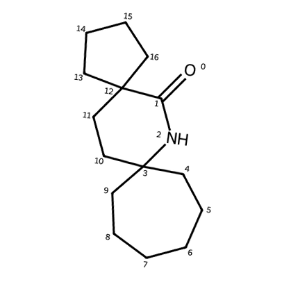 O=C1NC2(CCCCCC2)CCC12CCCC2